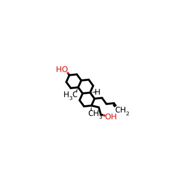 C=CCCC1[C@@H]2CCC3CC(O)CC[C@]3(C)C2CC[C@]1(C)CCO